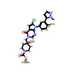 Cn1nccc1-c1cc(-n2c(Cl)cc3c(=O)n(CC4(O)CCN(C(=O)OC(C)(C)C)CC4)cnc32)ccc1F